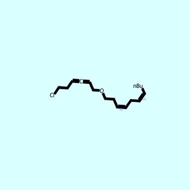 CCCC/C=C\C/C=C\CCOCC=C=CCCCl